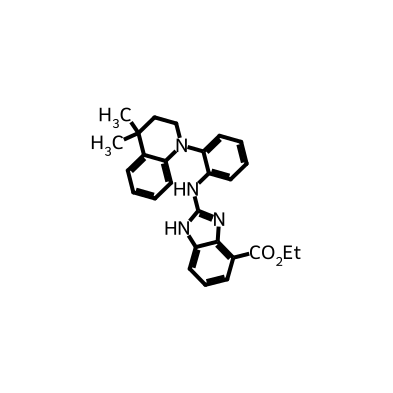 CCOC(=O)c1cccc2[nH]c(Nc3ccccc3N3CCC(C)(C)c4ccccc43)nc12